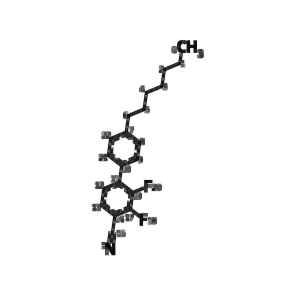 CCCCCCCc1ccc(-c2ccc(C#N)c(F)c2F)cc1